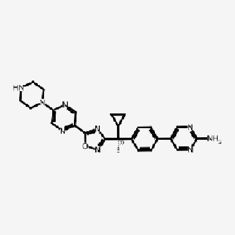 C[C@](c1ccc(-c2cnc(N)nc2)cc1)(c1noc(-c2cnc(N3CCNCC3)cn2)n1)C1CC1